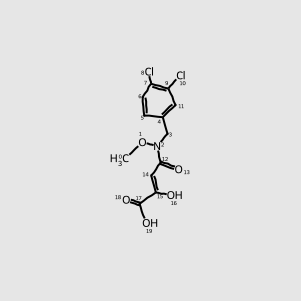 CON(Cc1ccc(Cl)c(Cl)c1)C(=O)/C=C(\O)C(=O)O